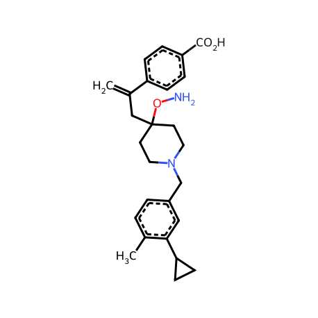 C=C(CC1(ON)CCN(Cc2ccc(C)c(C3CC3)c2)CC1)c1ccc(C(=O)O)cc1